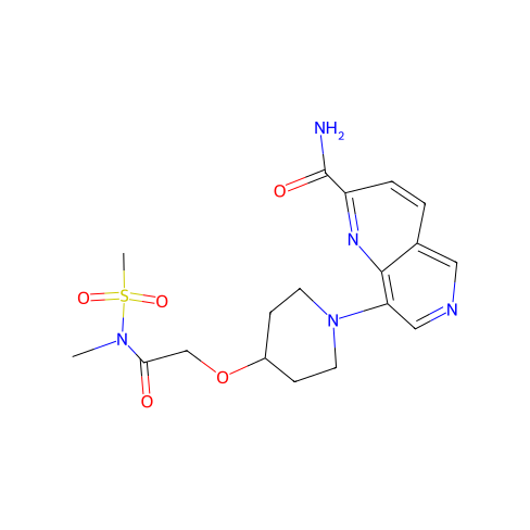 CN(C(=O)COC1CCN(c2cncc3ccc(C(N)=O)nc23)CC1)S(C)(=O)=O